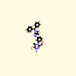 CC1C(=O)NN=C2COc3ccc(NC4(C)CN(C(c5ccccc5)c5ccccc5)C4)cc3N21